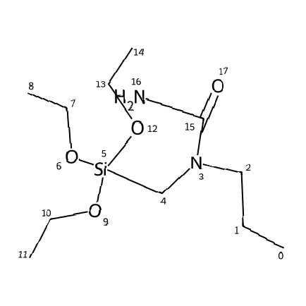 CCCN(C[Si](OCC)(OCC)OCC)C(N)=O